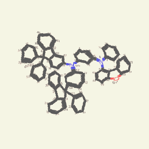 c1ccc(N(c2cccc(N(c3cccc(C4(c5ccccc5)c5ccccc5-c5ccccc54)c3)c3ccc4c(c3)-c3ccccc3C4(c3ccccc3)c3ccccc3)c2)c2cccc3oc4ccccc4c23)cc1